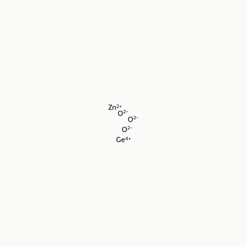 [Ge+4].[O-2].[O-2].[O-2].[Zn+2]